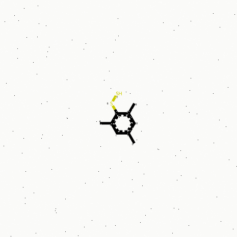 Cc1cc(C)c(SS)c(C)c1